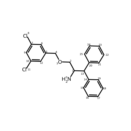 NC(COCc1cc(Cl)cc(Cl)c1)C(c1ccccc1)c1ccccc1